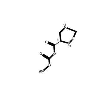 CC(C)(C)OC(=O)OC(=O)[C@@H]1CNCCN1